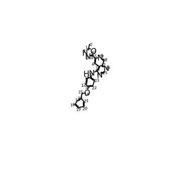 Cc1nnc(-c2cc3c(Nc4ccc(OCc5ccccc5)cc4)ncnc3cn2)o1